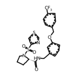 O=C(NCc1cccc(OCc2ccc(C(F)(F)F)cc2)c1)[C@@H]1CCCN1S(=O)(=O)c1cscn1